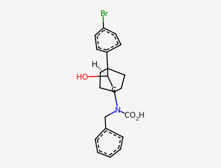 O=C(O)N(Cc1ccccc1)C12CCC(c3ccc(Br)cc3)(CC1)[C@H](O)C2